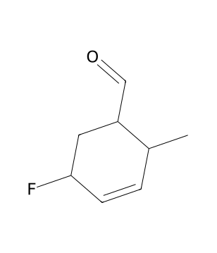 CC1C=CC(F)CC1C=O